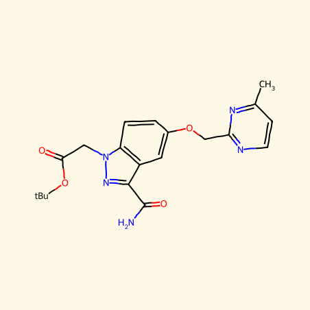 Cc1ccnc(COc2ccc3c(c2)c(C(N)=O)nn3CC(=O)OC(C)(C)C)n1